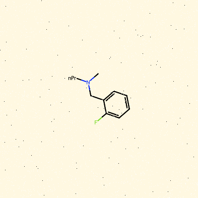 CCCN(C)Cc1ccccc1F